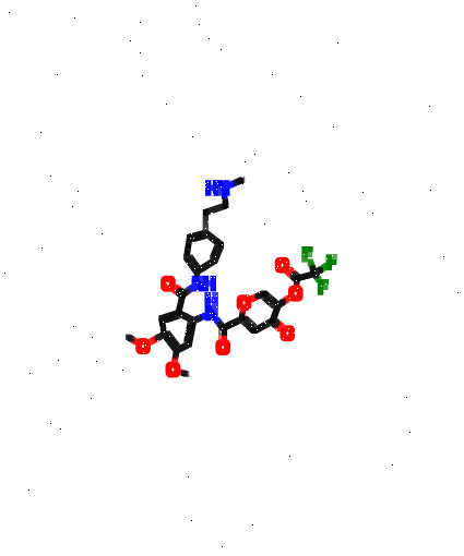 CNCCc1ccc(NC(=O)c2cc(OC)c(OC)cc2NC(=O)c2cc(=O)c(OC(=O)C(F)(F)F)co2)cc1